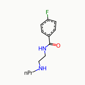 CCCNCCNC(=O)c1ccc(F)cc1